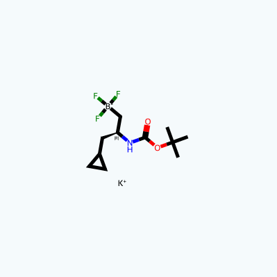 CC(C)(C)OC(=O)N[C@@H](CC1CC1)C[B-](F)(F)F.[K+]